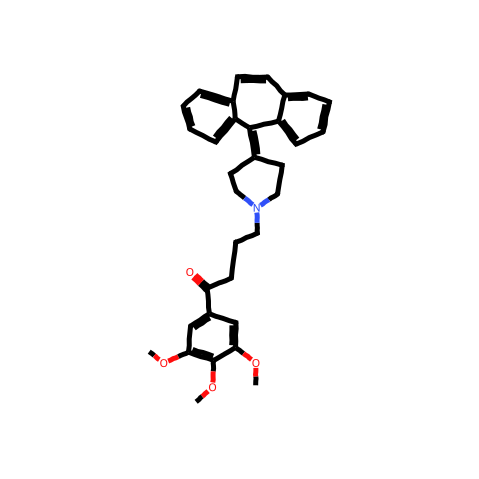 COc1cc(C(=O)CCCN2CCC(=C3c4ccccc4C=Cc4ccccc43)CC2)cc(OC)c1OC